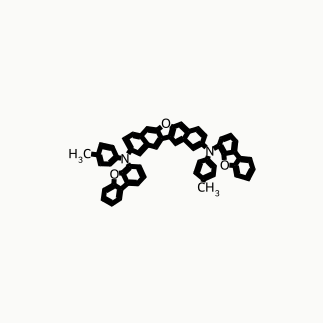 Cc1ccc(N(c2ccc3cc4oc5cc6ccc(N(c7ccc(C)cc7)c7cccc8c7oc7ccccc78)cc6cc5c4cc3c2)c2cccc3c2oc2ccccc23)cc1